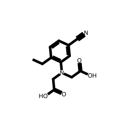 CCc1ccc(C#N)cc1N(CC(=O)O)CC(=O)O